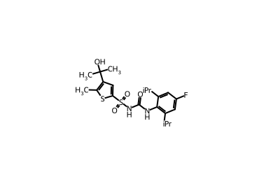 Cc1sc(S(=O)(=O)NC(=O)Nc2c(C(C)C)cc(F)cc2C(C)C)cc1C(C)(C)O